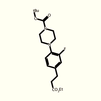 CCOC(=O)CCc1ccc(N2CCN(C(=O)OC(C)(C)C)CC2)c(F)c1